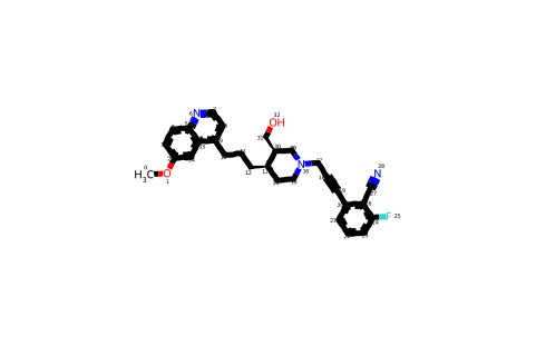 COc1ccc2nccc(CCC[C@@H]3CCN(CC#Cc4cccc(F)c4C#N)C[C@@H]3CO)c2c1